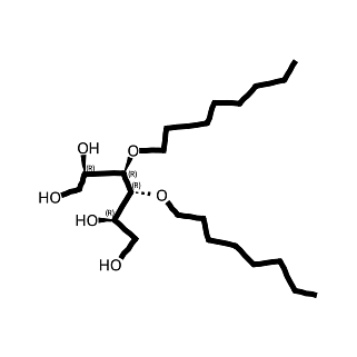 CCCCCCCCO[C@@H]([C@H](OCCCCCCCC)[C@H](O)CO)[C@H](O)CO